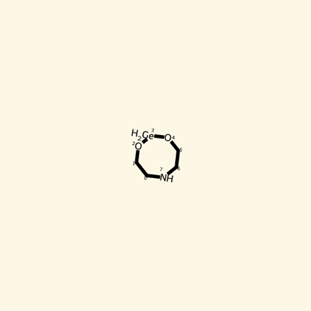 C1C[O][GeH2][O]CCN1